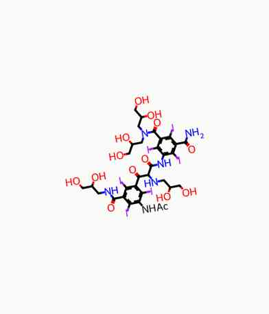 CC(=O)Nc1c(I)c(C(=O)NCC(O)CO)c(I)c(C(=O)C(NCC(O)CO)C(=O)Nc2c(I)c(C(N)=O)c(I)c(C(=O)N(CC(O)CO)CC(O)CO)c2I)c1I